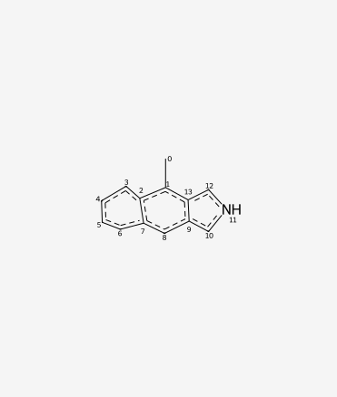 Cc1c2ccccc2cc2c[nH]cc12